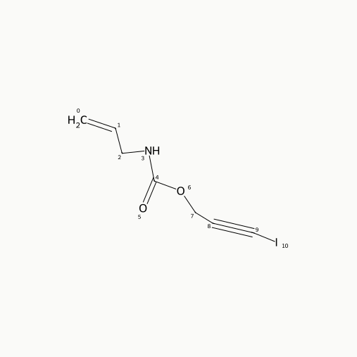 C=CCNC(=O)OCC#CI